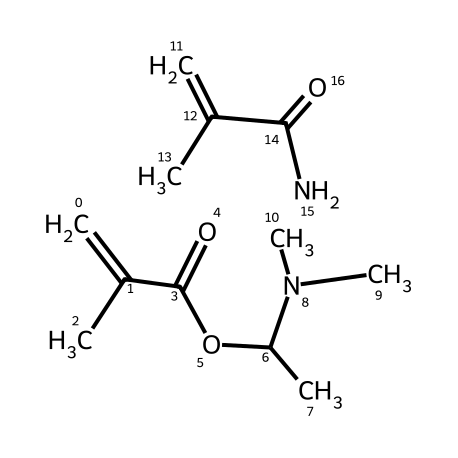 C=C(C)C(=O)OC(C)N(C)C.C=C(C)C(N)=O